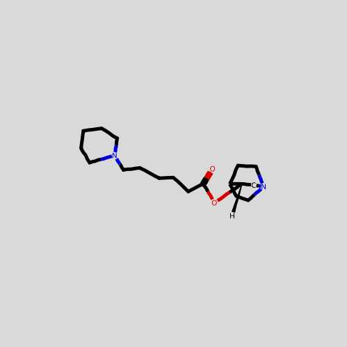 O=C(CCCCCN1CCCCC1)O[C@H]1CN2CCC1CC2